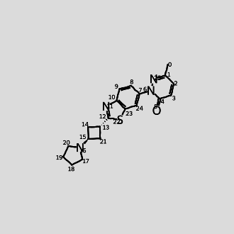 Cc1ccc(=O)n(-c2ccc3nc([C@H]4C[C@H](N5CCCC5)C4)sc3c2)n1